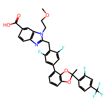 COCCn1c(Cc2c(F)cc(-c3cccc4c3OC(C)(c3ccc(C(F)(F)F)cc3F)O4)cc2F)nc2ccc(C(=O)O)cc21